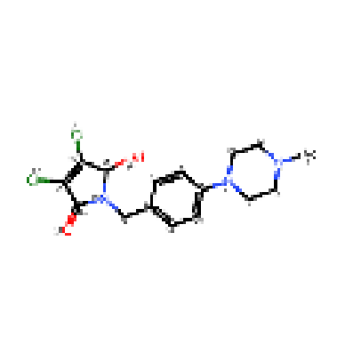 CC(=O)N1CCN(c2ccc(CN3C(=O)C(Cl)=C(Cl)C3O)cc2)CC1